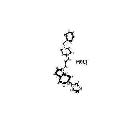 Cl.Cl.c1ccc(CN2CCN(CCCn3ccc4ccc(-n5cnnc5)cc43)CC2)nc1